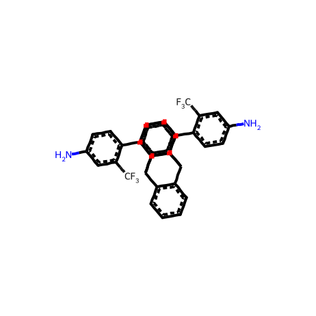 Nc1ccc(-c2ccc(-c3ccc(N)cc3C(F)(F)F)c3c2C2c4ccccc4C3c3ccccc32)c(C(F)(F)F)c1